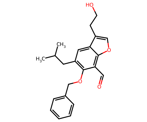 CC(C)Cc1cc2c(CCO)coc2c(C=O)c1OCc1ccccc1